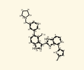 Cc1ccc(-c2nccc3[nH]c(-c4n[nH]c5ccc(-c6cncc(CN7CCCC7)c6)c(F)c45)nc23)s1